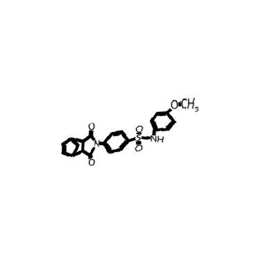 COc1ccc(NS(=O)(=O)c2ccc(N3C(=O)C4C5C=CC(C5)C4C3=O)cc2)cc1